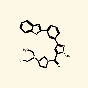 CCN(CC)C1CCN(C(=O)c2cc(-c3cccc(-c4cc5ccccc5o4)c3)nn2C)C1